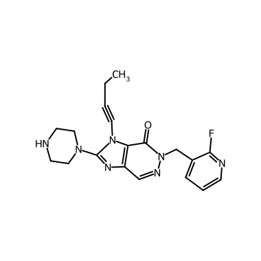 CCC#Cn1c(N2CCNCC2)nc2cnn(Cc3cccnc3F)c(=O)c21